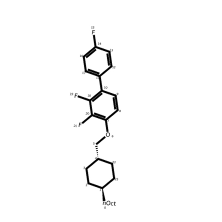 CCCCCCCC[C@H]1CC[C@H](COc2ccc(-c3ccc(F)cc3)c(F)c2F)CC1